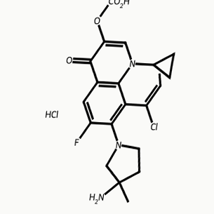 C/C=C(/Cl)c1c(N2CCC(C)(N)C2)c(F)cc2c(=O)c(OC(=O)O)cn(C3CC3)c12.Cl